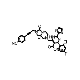 COC(=O)C1=C(CN2CCN3C(=O)N(CC#Cc4ccc(C#N)cc4)C[C@@H]3C2)NC(c2nccs2)=N[C@H]1c1ccc(F)cc1Cl